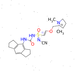 CN1CCC[C@@]1(C)CO/C=C/S(=O)(=NC#N)NC(=O)Nc1c2c(cc3c1CCC3)CCC2